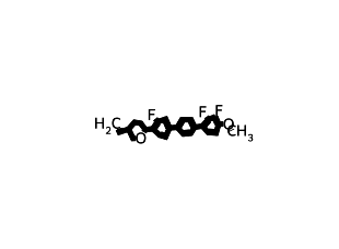 C=CC1CCC(c2ccc(-c3ccc(-c4ccc(OC)c(F)c4F)cc3)cc2F)OC1